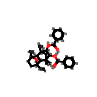 CC12CCC(C)(O1)C1C2C2(C)CC1(C)C(OC(=O)c1ccccc1)C2OC(=O)c1ccccc1